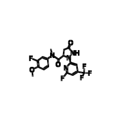 COc1ccc(N(C)C(=O)C2CC(=O)NN2c2cc(C(F)(F)F)cc(F)n2)cc1F